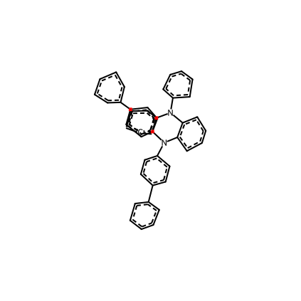 c1ccc(-c2ccc(N(c3ccc(-c4ccccc4)cc3)c3ccccc3N(c3ccccc3)c3ccccc3)cc2)cc1